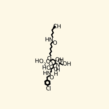 C#CCCCCNC(=O)CCCCCCO[C@]1(C(=O)O)C[C@H](O)[C@@H](NC(=O)CO)[C@H]([C@H](O)[C@H](O)CNC(=O)Cc2ccc(Cl)cc2)O1